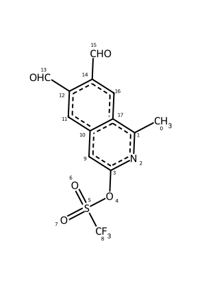 Cc1nc(OS(=O)(=O)C(F)(F)F)cc2cc(C=O)c(C=O)cc12